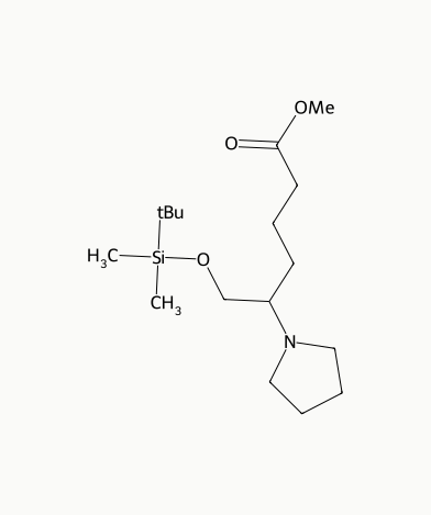 COC(=O)CCCC(CO[Si](C)(C)C(C)(C)C)N1CCCC1